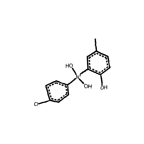 Cc1ccc(O)c([N+](O)(O)c2ccc(Cl)cc2)c1